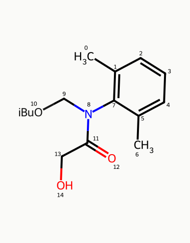 Cc1cccc(C)c1N(COCC(C)C)C(=O)CO